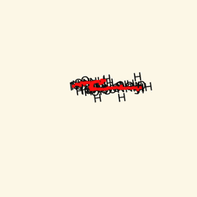 [N-]=[N+]=NCC(=O)Sc1ccc(C(=O)NCCCC(NC(=O)CCCc2c[nH]c3ccccc23)C(=O)NC(CC(=O)O)C(=O)NC(CO)C(=O)NCCOCCOCC(=O)NCCOCCOCC(=O)NC(CCCCNC(=O)CCCC[C@@H]2SC[C@@H]3NC(=O)N[C@@H]32)C(N)=O)cc1